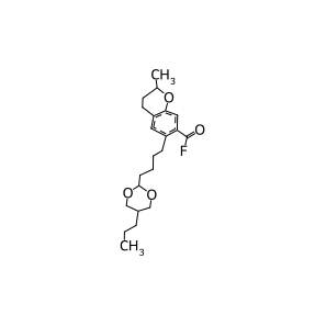 CCCC1COC(CCCCc2cc3c(cc2C(=O)F)OC(C)CC3)OC1